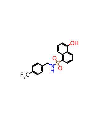 O=S(=O)(NCc1ccc(C(F)(F)F)cc1)c1cccc2c(O)cccc12